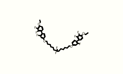 CCOc1ccc(-c2ccc(OCCCCCCC(F)(F)CCCCCCOc3ccc(-c4ccc(OCC)c(F)c4F)c(F)c3)cc2F)c(F)c1F